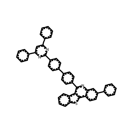 c1ccc(-c2ccc3c(c2)nc(-c2ccc(-c4ccc(-c5nc(-c6ccccc6)cc(-c6ccccc6)n5)cc4)cc2)c2c4ccccc4sc32)cc1